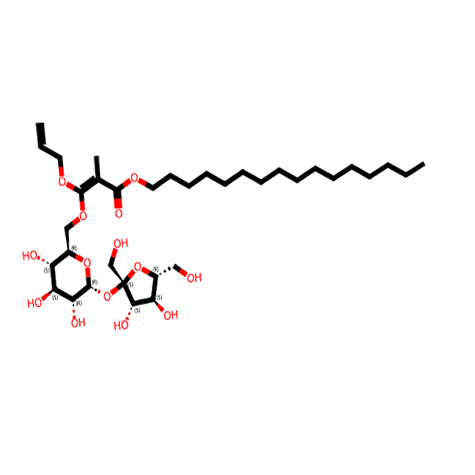 C=CCOC(OC[C@H]1O[C@H](O[C@]2(CO)O[C@H](CO)[C@@H](O)[C@@H]2O)[C@H](O)[C@@H](O)[C@@H]1O)=C(C)C(=O)OCCCCCCCCCCCCCCCC